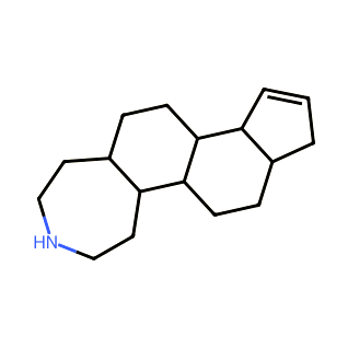 C1=CC2C(C1)CCC1C3CCNCCC3CCC21